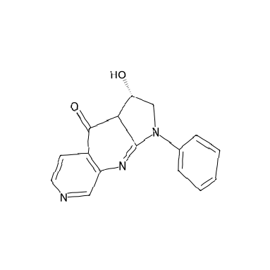 O=C1c2ccncc2N=C2C1[C@H](O)CN2c1ccccc1